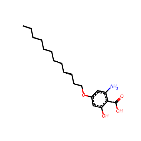 CCCCCCCCCCCCOc1cc(N)c(C(=O)O)c(O)c1